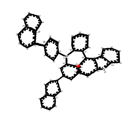 c1cc(-c2ccc3ccccc3c2)cc(N(c2ccc(-c3cccc4ccccc34)cc2)c2ccccc2-c2cccc3sc4ccccc4c23)c1